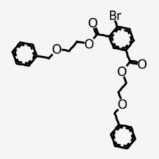 O=C(OCCOCc1ccccc1)c1ccc(Br)c(C(=O)OCCOCc2ccccc2)c1